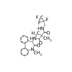 CN1C(=O)C(NC(=O)C(C)(C)C(=O)NCC(F)(F)C(F)(F)F)c2ccccc2-c2ccccc21